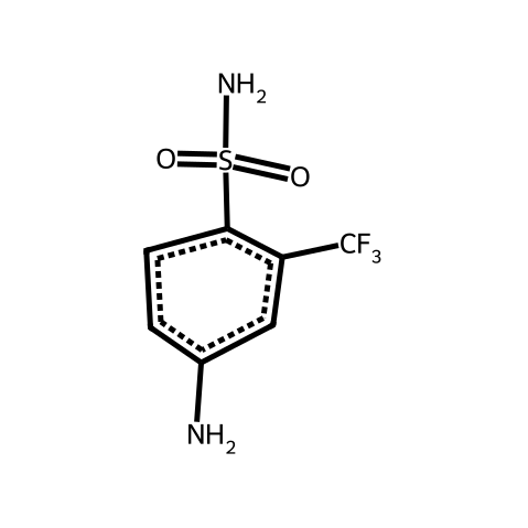 Nc1ccc(S(N)(=O)=O)c(C(F)(F)F)c1